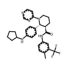 Cc1ccc(NC(=O)[C@@H]2CCCN(c3ccncn3)[C@H]2c2ccc(NC3CCCC3)cc2)cc1C(F)(F)F